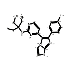 CCC(CO)(CO)Nc1nccc(-c2c(-c3ccc(F)cc3)nc3sccn23)n1